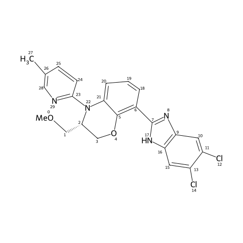 COC[C@H]1COc2c(-c3nc4cc(Cl)c(Cl)cc4[nH]3)cccc2N1c1ccc(C)cn1